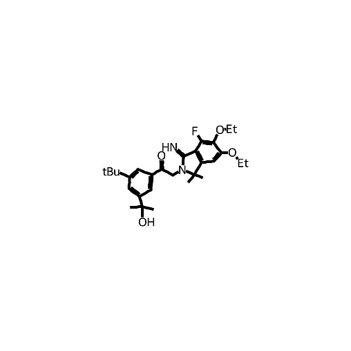 CCOc1cc2c(c(F)c1OCC)C(=N)N(CC(=O)c1cc(C(C)(C)C)cc(C(C)(C)O)c1)C2(C)C